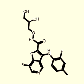 O=C(NOC[C@H](O)CO)c1oc2c(F)cncc2c1Nc1ccc(I)cc1F